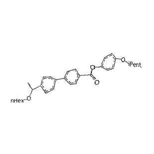 CCCCCCOC(C)c1ccc(-c2ccc(C(=O)Oc3ccc(OC(C)CCC)cc3)cc2)cc1